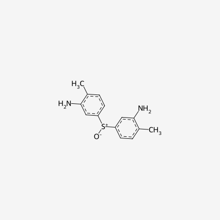 Cc1ccc([S+]([O-])c2ccc(C)c(N)c2)cc1N